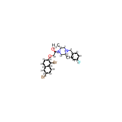 C[C@@H]1CN(Cc2ccc(F)cc2)[C@@H](C)CN1C(=O)COc1ccc2cc(Br)ccc2c1Br